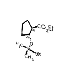 CCOC(=O)[C@@H]1CCC[C@H]1O[Si](C)(C)C(C)(C)C